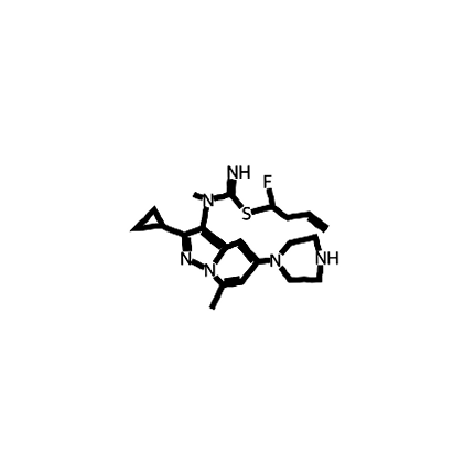 C=CCC(F)SC(=N)N(C)c1c(C2CC2)nn2c(C)cc(N3CCNCC3)cc12